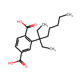 CCCCCC(CC)(CC)c1cc(C(=O)O)ccc1C(=O)O